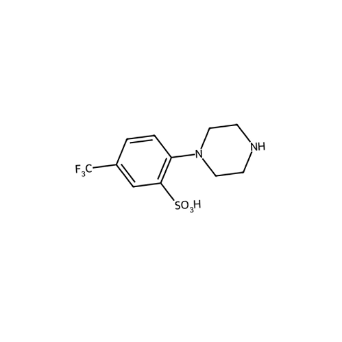 O=S(=O)(O)c1cc(C(F)(F)F)ccc1N1CCNCC1